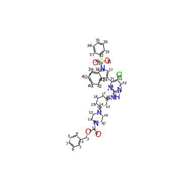 O=C(OCc1ccccc1)N1CCN([C@H]2CCC[C@@H](Nc3ncc(Cl)c(-c4cn(S(=O)(=O)c5ccccc5)c5ccccc45)n3)C2)CC1